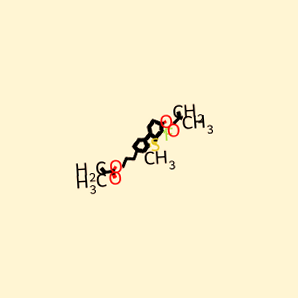 C=C(C)C(=O)OCCCc1ccc2c(sc3c(F)c(OC(=O)C(=C)C)ccc32)c1C